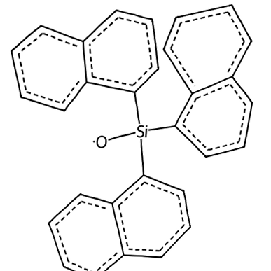 [O][Si](c1cccc2ccccc12)(c1cccc2ccccc12)c1cccc2ccccc12